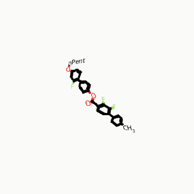 CCCCCOc1ccc(-c2ccc(OC(=O)c3ccc(-c4ccc(C)cc4)c(F)c3F)cc2)c(F)c1